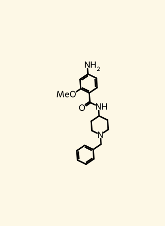 COc1cc(N)ccc1C(=O)NC1CCN(Cc2ccccc2)CC1